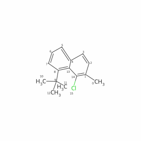 Cc1ccc2cccc(C(C)(C)C)c2c1Cl